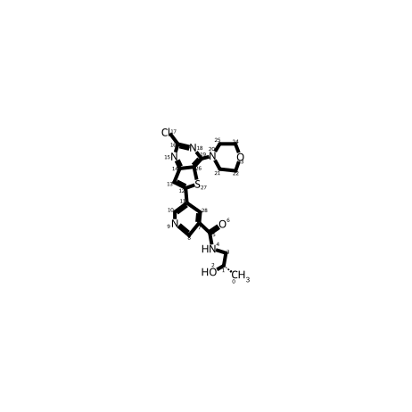 C[C@H](O)CNC(=O)c1cncc(-c2cc3nc(Cl)nc(N4CCOCC4)c3s2)c1